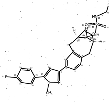 Cn1nc(-c2ccc3c(c2)C[C@H]2CC[C@@H](C3)[C@H]2NS(=O)(=O)NCC(F)(F)F)cc1-c1ccc(F)cc1